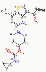 CNC(=O)c1csc2c(C(F)(F)F)cc(N3CCC(OC(=O)NC4CC4)CC3)nc12